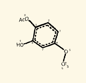 CC(=O)Oc1ccc(OC(F)(F)F)cc1O